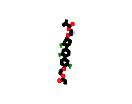 C=CC(=O)O/C=C\Oc1ccc(-c2ccc(-c3ccc(O/C=C\OC(=O)C(=C)C)cc3F)cc2F)cc1F